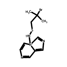 CC(C)(Br)CSN[N+]12C=CN=CC1=CN=C2